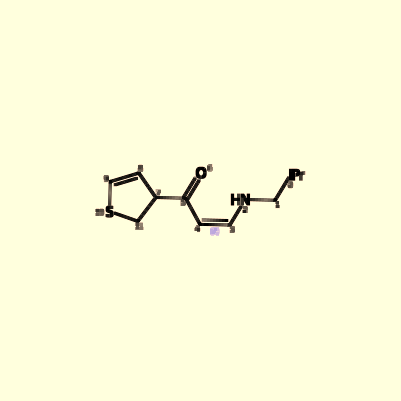 CC(C)CN/C=C\C(=O)C1C=CSC1